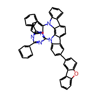 c1ccc(-c2nc(-c3ccccc3)nc(-n3c4ccc(-c5ccc6oc7ccccc7c6c5)cc4c4ccc5c6ccccc6n(-c6ccccc6)c5c43)n2)cc1